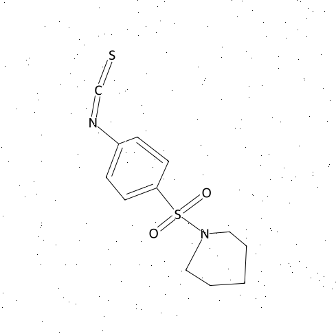 O=S(=O)(c1ccc(N=C=S)cc1)N1CCCCC1